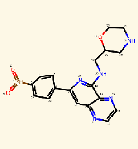 O=[SH](=O)c1ccc(-c2cc3nccnc3c(NCC3CNCCO3)n2)cc1